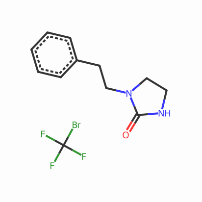 FC(F)(F)Br.O=C1NCCN1CCc1ccccc1